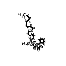 CC/C=C\C/C=C\C/C=C\C/C=C\C/C=C\C/C=C\C[C@@H](CC)C(=O)N1C(=O)OC(c2ccccc2)[C@H]1C